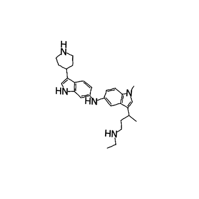 CCNCCC(C)c1cn(C)c2ccc(Nc3ccc4c(C5CCNCC5)c[nH]c4c3)cc12